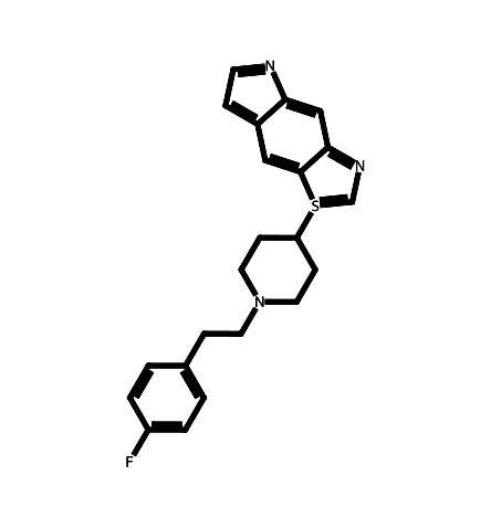 Fc1ccc(CCN2CCC(S3=CN=c4cc5c(cc43)=CC=N5)CC2)cc1